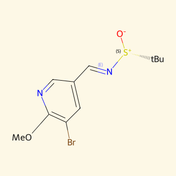 COc1ncc(/C=N/[S@+]([O-])C(C)(C)C)cc1Br